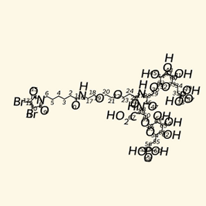 O=C(CCCCCN1C(=O)C(Br)=C(Br)C1=O)NCCOCCOCCC(=O)NC(CO[C@H]1OC(CCP(=O)(O)O)[C@@H](O)[C@H](O)C1O)C(=O)NC(COC1OC(CCP(=O)(O)O)C(O)C(O)C1O)C(=O)O